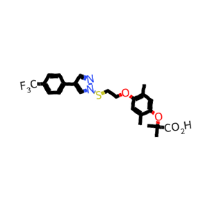 Cc1cc(OC(C)(C)C(=O)O)c(C)cc1OCCSn1cc(-c2ccc(C(F)(F)F)cc2)cn1